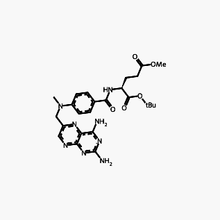 COC(=O)CC[C@H](NC(=O)c1ccc(N(C)Cc2cnc3nc(N)nc(N)c3n2)cc1)C(=O)OC(C)(C)C